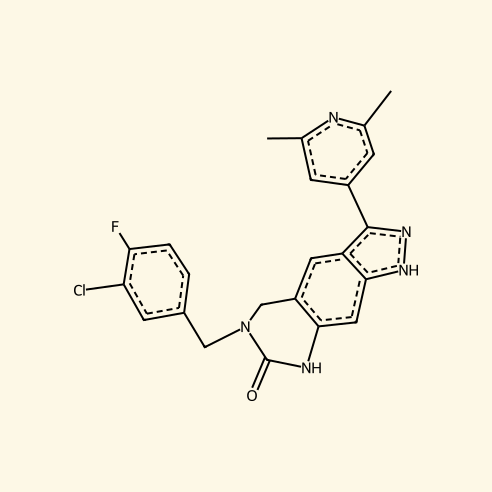 Cc1cc(-c2n[nH]c3cc4c(cc23)CN(Cc2ccc(F)c(Cl)c2)C(=O)N4)cc(C)n1